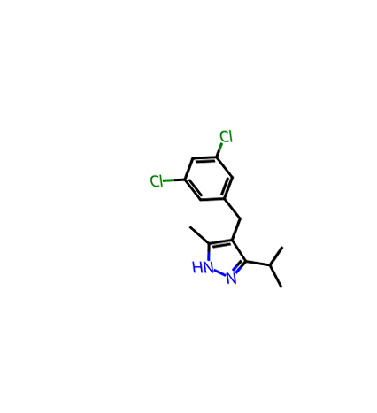 Cc1[nH]nc(C(C)C)c1Cc1cc(Cl)cc(Cl)c1